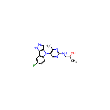 Cc1nc(NCC(C)O)ncc1-n1c2ccc(F)cc2c2[nH]ncc21